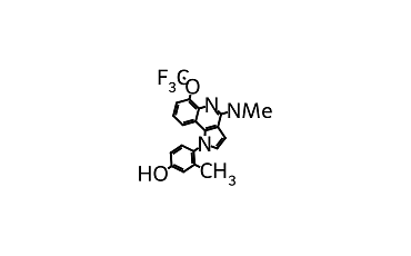 CNc1nc2c(OC(F)(F)F)cccc2c2c1ccn2-c1ccc(O)cc1C